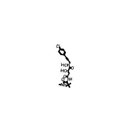 CNC(=O)[C@@H](NC(=O)C[C@H](O)C(=O)N(O)CC#Cc1ccc(Cl)cc1)C(C)(C)C